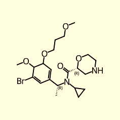 COCCCOC1C=C([C@@H](C)N(C(=O)[C@H]2CNCCO2)C2CC2)C=C(Br)C1OC